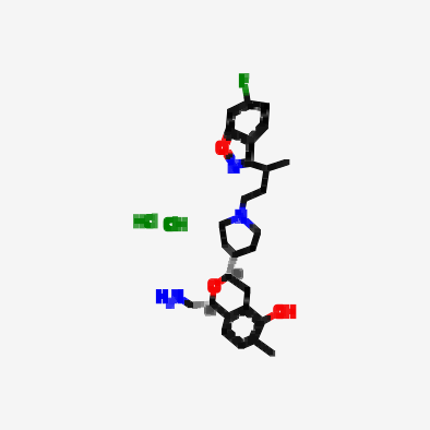 Cc1ccc2c(c1O)C[C@@H](C1CCN(CCC(C)c3noc4cc(F)ccc34)CC1)O[C@H]2CN.Cl.Cl